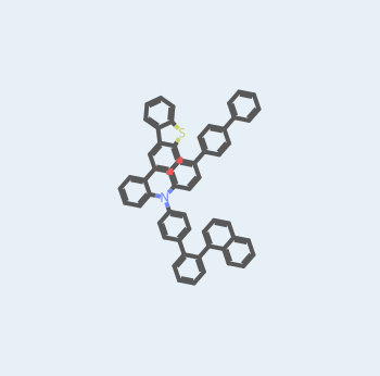 c1ccc(-c2ccc(-c3ccc(N(c4ccc(-c5ccccc5-c5cccc6ccccc56)cc4)c4ccccc4-c4ccc5sc6ccccc6c5c4)cc3)cc2)cc1